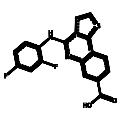 O=C(O)c1ccc2c(c1)nc(Nc1ccc(F)cc1F)c1ccsc12